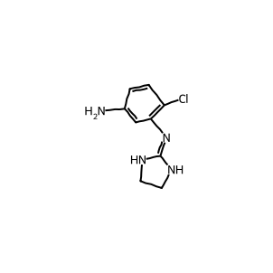 Nc1ccc(Cl)c(N=C2NCCN2)c1